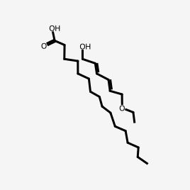 CCCCCCCCCCCCCCCC(=O)O.CCOC/C=C/C=C/CO